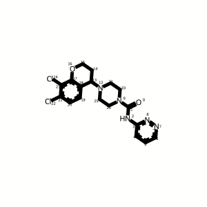 O=C(Nc1cccnn1)N1CCN(C2CCOc3c2ccc(Cl)c3Cl)CC1